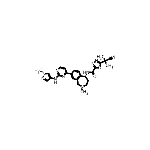 CN1CC[C@H](NC(=O)c2nnc(C(C)(C)C#N)o2)c2ccc(-c3ccnc(Nc4cnn(C)c4)n3)cc2C1